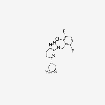 Fc1ccc(F)c(Cn2nnc3ccc(C4C=NNC4)nc32)c1Cl